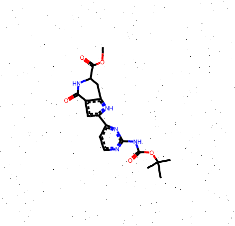 COC(=O)C1Cc2[nH]c(-c3ccnc(NC(=O)OC(C)(C)C)n3)cc2C(=O)N1